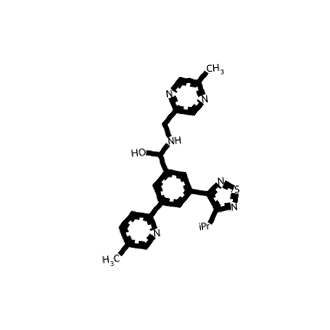 Cc1ccc(-c2cc(-c3nsnc3C(C)C)cc(C(O)NCc3cnc(C)cn3)c2)nc1